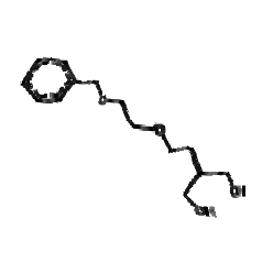 OCC(CO)CCOCCOCc1ccccc1